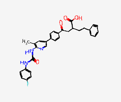 Cc1cc(-c2ccc(C(=O)CC(CCc3ccccc3)C(=O)O)cc2)cnc1NC(=O)Nc1ccc(F)cc1